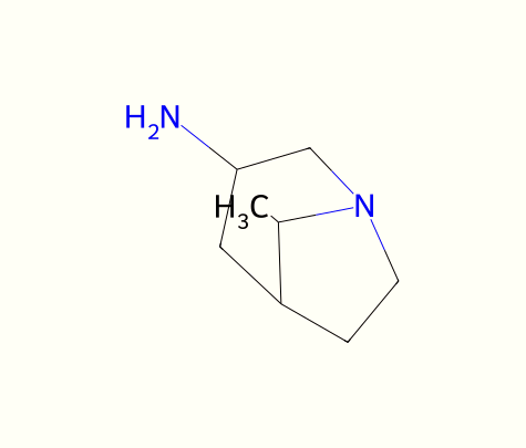 CC1C2CCN1CC(N)C2